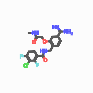 CNC(=O)COc1cc(C(=N)N)ccc1CNC(=O)c1ccc(F)c(Cl)c1F